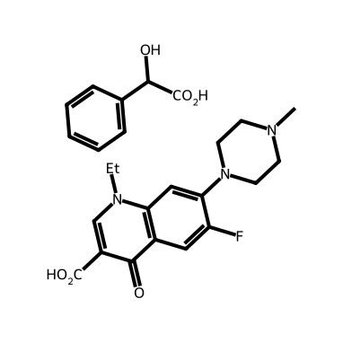 CCn1cc(C(=O)O)c(=O)c2cc(F)c(N3CCN(C)CC3)cc21.O=C(O)C(O)c1ccccc1